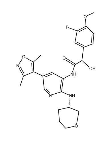 COc1ccc(C(O)C(=O)Nc2cc(-c3c(C)noc3C)cnc2N[C@H]2CCCOC2)cc1F